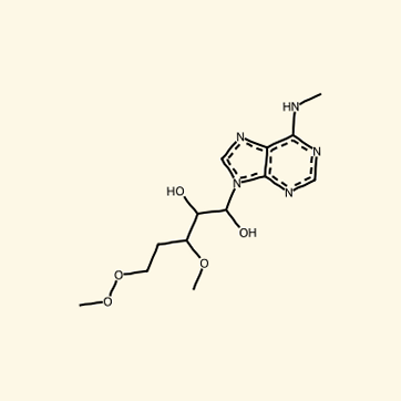 CNc1ncnc2c1ncn2C(O)C(O)C(CCOOC)OC